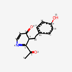 CC(=O)C1=NC=CC(=O)C1Cc1ccc(O)cc1